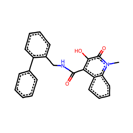 Cn1c(=O)c(O)c(C(=O)NCc2ccccc2-c2ccccc2)c2ccccc21